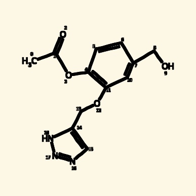 CC(=O)Oc1ccc(CO)cc1OCc1cnn[nH]1